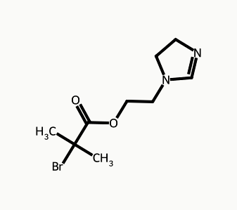 CC(C)(Br)C(=O)OCCN1C=NCC1